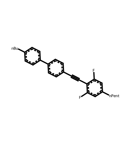 CCCCCc1cc(F)c(C#Cc2ccc(-c3ccc(CCCC)cc3)cc2)c(F)c1